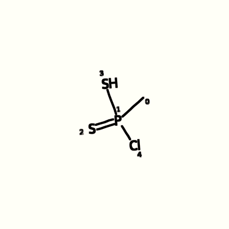 CP(=S)(S)Cl